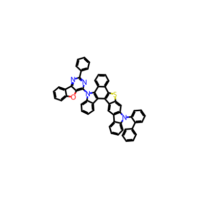 c1ccc(-c2nc(-n3c4ccccc4c4c5c6cc7c8ccccc8n(-c8ccccc8-c8ccccc8)c7cc6sc5c5ccccc5c43)c3oc4ccccc4c3n2)cc1